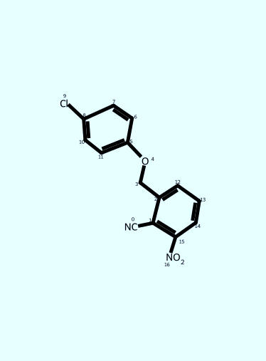 N#Cc1c(COc2ccc(Cl)cc2)cccc1[N+](=O)[O-]